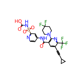 O=C(O)NS(=O)(=O)c1cc(NC(=O)c2cc(C#CC3CC3)c(C(F)(F)F)nc2N2CCC(F)(F)CC2)ccn1